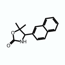 CC1(C)OC(=O)NC1c1ccc2ccccc2c1